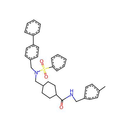 Cc1ccc(CNC(=O)C2CCC(CN(Cc3ccc(-c4ccccc4)cc3)S(=O)(=O)c3ccccc3)CC2)cc1